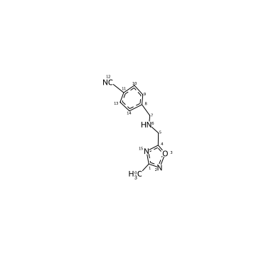 Cc1noc(CNCc2ccc(C#N)cc2)n1